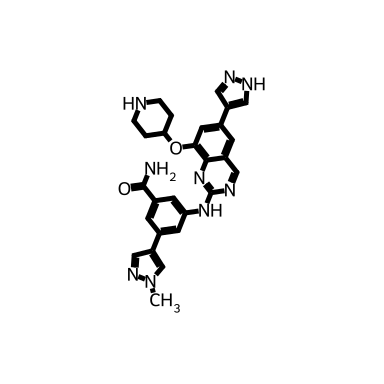 Cn1cc(-c2cc(Nc3ncc4cc(-c5cn[nH]c5)cc(OC5CCNCC5)c4n3)cc(C(N)=O)c2)cn1